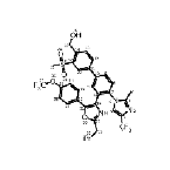 Cc1nc(C(F)(F)F)cn1-c1ccc(-c2ccc(CO)c(S(C)(=O)=O)c2)cc1-c1nc(CC(C)C)oc1-c1ccc(OC(F)(F)F)cc1